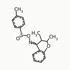 Cc1ccc(S(=O)O/N=C2/c3ccccc3OC(C)C2C)cc1